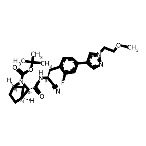 COCCn1cc(-c2ccc(C[C@@H](C#N)NC(=O)[C@@H]3[C@H]4CC[C@H](C4)N3C(=O)OC(C)(C)C)c(F)c2)cn1